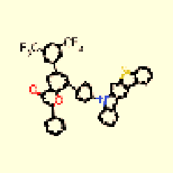 O=c1cc(-c2ccccc2)oc2c(-c3ccc(-n4c5ccccc5c5cc6c(cc54)sc4ccccc46)cc3)cc(-c3cc(C(F)(F)F)cc(C(F)(F)F)c3)cc12